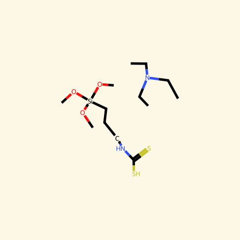 CCN(CC)CC.CO[Si](CCCNC(=S)S)(OC)OC